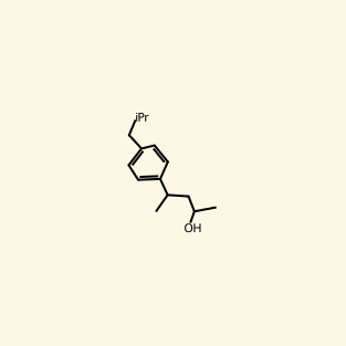 CC(C)Cc1ccc(C(C)CC(C)O)cc1